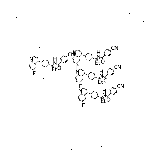 CC[C@@H](NC(=O)c1ccc(C#N)cc1)C1CCC(c2ccnc3ccc(F)cc23)CC1.CC[C@@H](NC(=O)c1ccc(C#N)cc1)C1CCC(c2ccnc3ccc(F)cc23)CC1.CC[C@H](NC(=O)c1ccc(C#N)cc1)C1CCC(c2ccnc3ccc(F)cc23)CC1.CC[C@H](NC(=O)c1ccc(C#N)cc1)C1CCC(c2ccnc3ccc(F)cc23)CC1